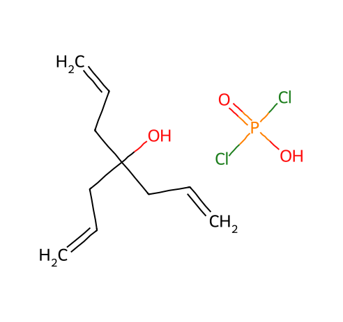 C=CCC(O)(CC=C)CC=C.O=P(O)(Cl)Cl